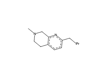 CC(C)Cc1ccc2c(n1)CN(C)CC2